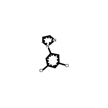 Clc1cc(Cl)cc(-n2[c]ccn2)c1